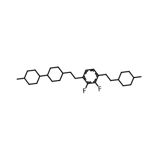 CC1CCC(CCc2ccc(CCC3CCC(C4CCC(C)CC4)CC3)c(F)c2F)CC1